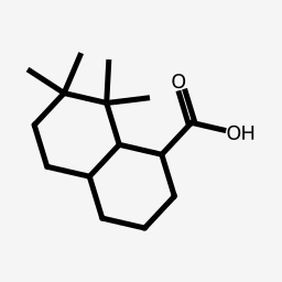 CC1(C)CCC2CCCC(C(=O)O)C2C1(C)C